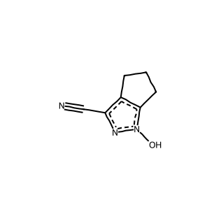 N#Cc1nn(O)c2c1CCC2